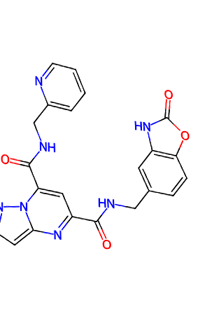 O=C(NCc1ccc2oc(=O)[nH]c2c1)c1cc(C(=O)NCc2ccccn2)n2nccc2n1